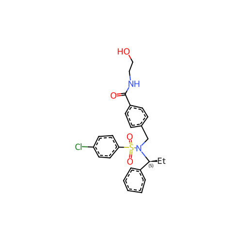 CC[C@@H](c1ccccc1)N(Cc1ccc(C(=O)NCCO)cc1)S(=O)(=O)c1ccc(Cl)cc1